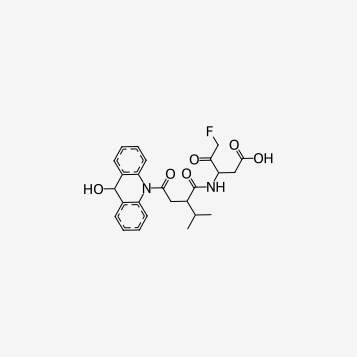 CC(C)C(CC(=O)N1c2ccccc2C(O)c2ccccc21)C(=O)NC(CC(=O)O)C(=O)CF